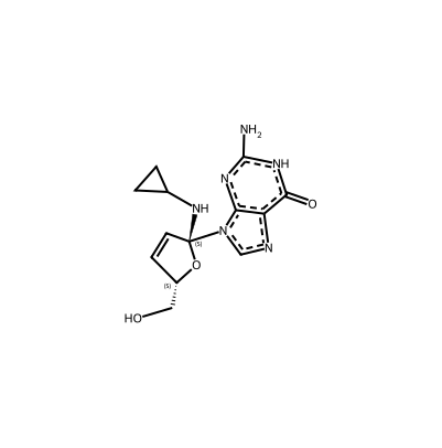 Nc1nc2c(ncn2[C@@]2(NC3CC3)C=C[C@@H](CO)O2)c(=O)[nH]1